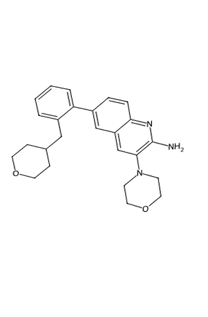 Nc1nc2ccc(-c3ccccc3CC3CCOCC3)cc2cc1N1CCOCC1